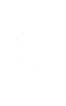 COc1cc(-c2cnn(C)c2)ccc1NC/N=C\c1ccnc(NC(C)C2CCOC2)c1